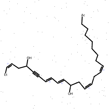 CC/C=C\CC(O)C#C/C=C/C=C/C(O)C/C=C\C/C=C\CCCCCCCC(C)=O